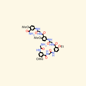 CCOc1ccc(NC(=O)CNC(=O)c2cc(NC(=O)CN)ccc2OC)cc1C(=O)NCC(=O)Nc1ccc(OC)c(C(=O)NCC(=O)Nc2ccc(OC)c(C(N)=O)c2)c1